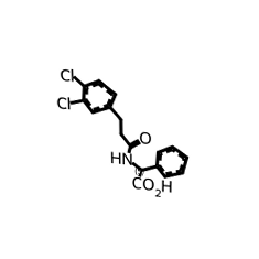 O=C(CCc1ccc(Cl)c(Cl)c1)N[C@H](C(=O)O)c1ccccc1